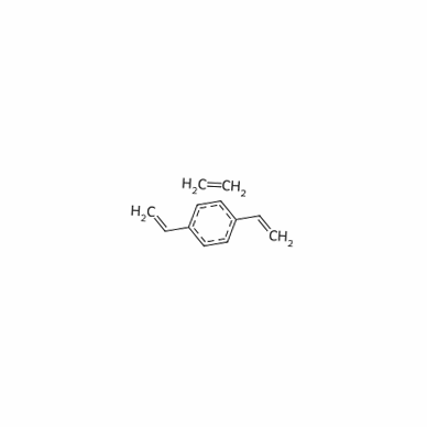 C=C.C=Cc1ccc(C=C)cc1